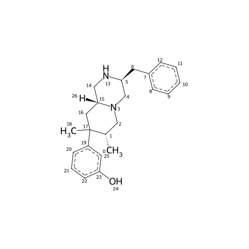 C[C@H]1CN2C[C@H](Cc3ccccc3)NC[C@H]2CC1(C)c1cccc(O)c1